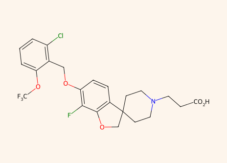 O=C(O)CCN1CCC2(CC1)COc1c2ccc(OCc2c(Cl)cccc2OC(F)(F)F)c1F